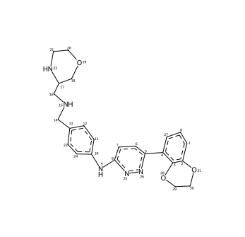 c1cc2c(c(-c3ccc(Nc4ccc(CNCC5COCCN5)cc4)nn3)c1)OCCO2